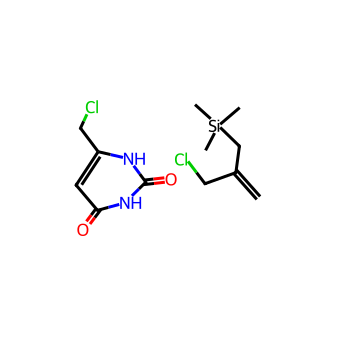 C=C(CCl)C[Si](C)(C)C.O=c1cc(CCl)[nH]c(=O)[nH]1